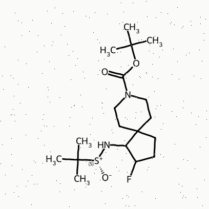 CC(C)(C)OC(=O)N1CCC2(CCC(F)C2N[S@+]([O-])C(C)(C)C)CC1